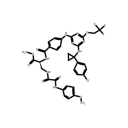 COC(=O)[C@H](CNC(=O)C(=O)Nc1ccc(OC)cc1)NC(=O)c1ccc(Nc2nc(NC3(c4ccc(Cl)cc4)CC3)nc(OCC(F)(F)F)n2)cc1